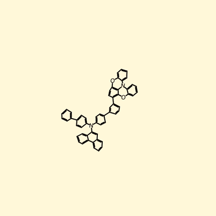 c1ccc(-c2ccc(N(c3ccc(-c4cccc(-c5ccc6c7c5Oc5ccccc5N7c5ccccc5O6)c4)cc3)c3cc4ccccc4c4ccccc34)cc2)cc1